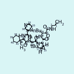 C=CCNC(=O)C(=O)C(CCCC)NC(=O)[C@@H]1[C@H]2C[C@H]2CN1C(=O)[C@@H](NC(=O)[C@@H](NC(=O)c1cnccn1)C1(C)CCCCC1)C(C)(C)C